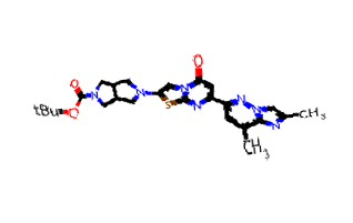 Cc1cn2nc(-c3cc(=O)n4cc(N5CC6CN(C(=O)OC(C)(C)C)CC6C5)sc4n3)cc(C)c2n1